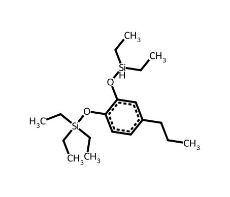 CCCc1ccc(O[Si](CC)(CC)CC)c(O[SiH](CC)CC)c1